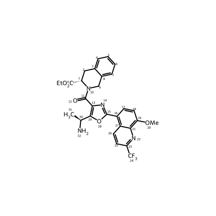 CCOC(=O)[C@@H]1Cc2ccccc2CN1C(=O)c1nc(-c2ccc(OC)c3nc(C(F)(F)F)ccc23)oc1[C@H](C)N